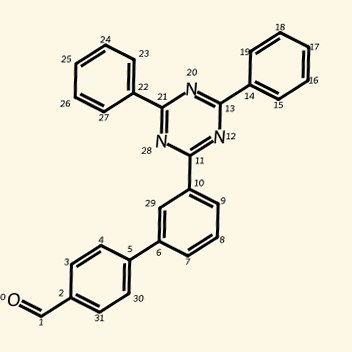 O=Cc1ccc(-c2cccc(-c3nc(-c4ccccc4)nc(-c4ccccc4)n3)c2)cc1